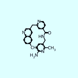 Cc1ccc2ncc(Cc3cc(C(=O)NCc4ccc(N)nc4C)ccn3)cc2c1